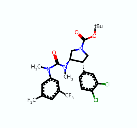 CN(C(=O)N(C)[C@H]1CN(C(=O)OC(C)(C)C)C[C@@H]1c1ccc(Cl)c(Cl)c1)c1cc(C(F)(F)F)cc(C(F)(F)F)c1